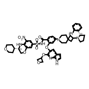 CC(C)c1ccccc1[C@@H]1CCCN1C1CC2(CCN(c3ccc(C(=O)NS(=O)(=O)c4cc5c(c([N+](=O)[O-])c4)N[C@@H](C4CCOCC4)CO5)c(Oc4cc5cc[nH]c5nc4OC4COC4)c3)CC2)C1